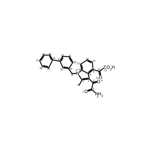 Cc1c(C(=O)C(N)=O)c2c(C(=O)C(=O)O)cccc2n1Cc1cccc(-c2ccccc2)c1